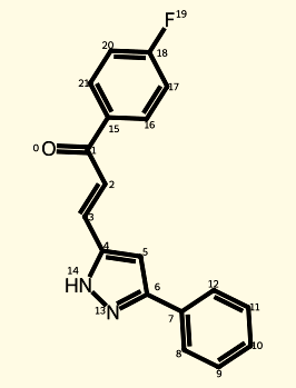 O=C(C=Cc1cc(-c2ccccc2)n[nH]1)c1ccc(F)cc1